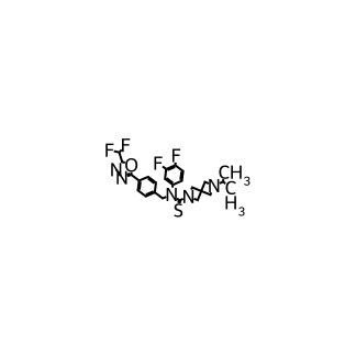 CC(C)N1CC2(CN(C(=S)N(Cc3ccc(-c4nnc(C(F)F)o4)cc3)c3ccc(F)c(F)c3)C2)C1